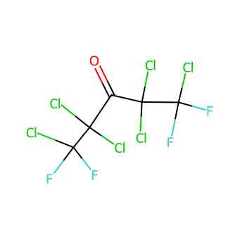 O=C(C(Cl)(Cl)C(F)(F)Cl)C(Cl)(Cl)C(F)(F)Cl